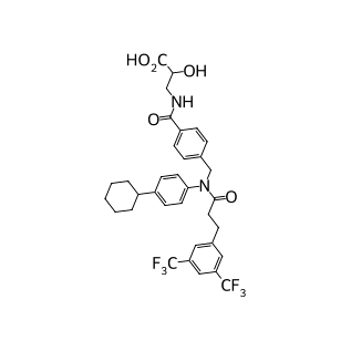 O=C(NCC(O)C(=O)O)c1ccc(CN(C(=O)CCc2cc(C(F)(F)F)cc(C(F)(F)F)c2)c2ccc(C3CCCCC3)cc2)cc1